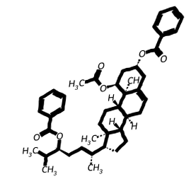 CC(=O)O[C@H]1C[C@H](OC(=O)c2ccccc2)CC2=CC[C@H]3[C@@H]4CC[C@H]([C@H](C)CC[C@H](OC(=O)c5ccccc5)C(C)C)[C@@]4(C)CC[C@@H]3[C@]21C